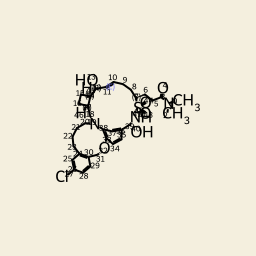 CN(C)C(=O)CC[C@@H]1CC/C=C/[C@H](O)[C@@H]2CC[C@H]2CN2CCCCc3cc(Cl)ccc3COc3ccc(cc32)C(O)NS1(=O)=O